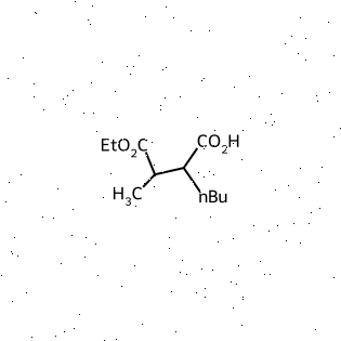 CCCCC(C(=O)O)C(C)C(=O)OCC